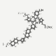 CCCCCCCCCCCCc1ccc(N2/C(=C3\C(=O)c4ccc(-c5ccc6cc(-c7ccc(-c8ccc9cc(C)ccc9c8)s7)ccc6c5)cc4N3c3ccc(CCCCCCCCCCCC)s3)C(=O)c3ccc(C)cc32)s1